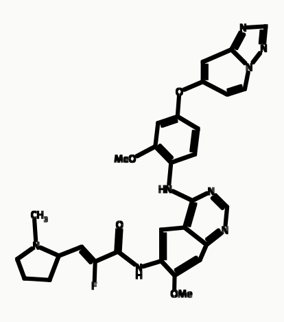 COc1cc2ncnc(Nc3ccc(Oc4ccn5ncnc5c4)cc3OC)c2cc1NC(=O)C(F)=CC1CCCN1C